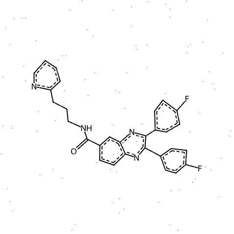 O=C(NCCCc1ccccn1)c1ccc2nc(-c3ccc(F)cc3)c(-c3ccc(F)cc3)nc2c1